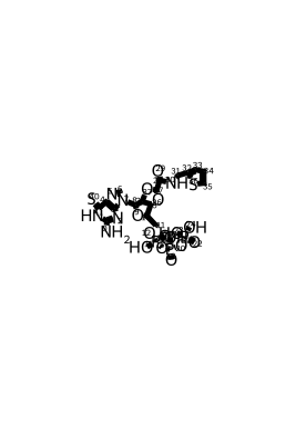 Nc1nc2c(ncn2C2OC(COP(=O)(O)OP(=O)(O)OP(=O)(O)O)C3OC(C(=O)NCc4cccs4)OC32)c(=S)[nH]1